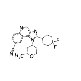 C[C@@H]1C[C@H](n2c(C3CCC(F)(F)CC3)nc3cnc4ccc(C#N)cc4c32)CCO1